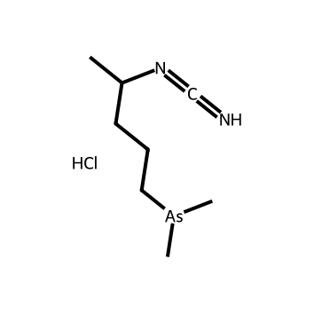 CC(CCC[As](C)C)N=C=N.Cl